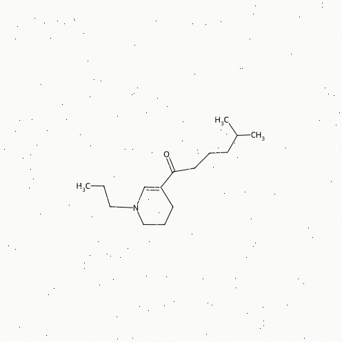 CCCN1C=C(C(=O)CCCC(C)C)CCC1